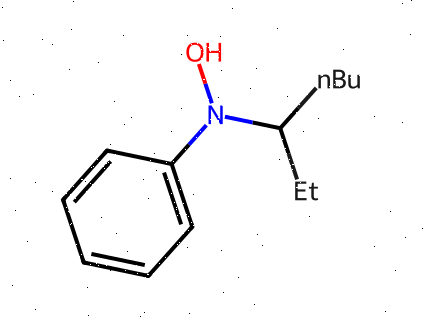 CCCCC(CC)N(O)c1ccccc1